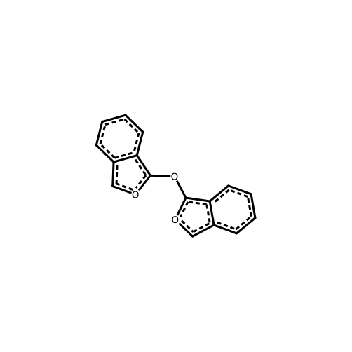 c1ccc2c(Oc3occ4ccccc34)occ2c1